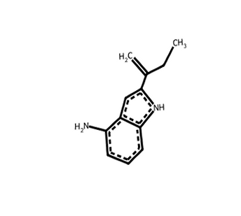 C=C(CC)c1cc2c(N)cccc2[nH]1